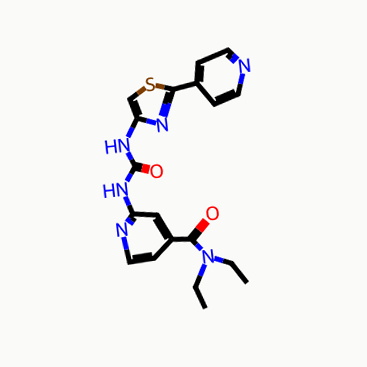 CCN(CC)C(=O)c1ccnc(NC(=O)Nc2csc(-c3ccncc3)n2)c1